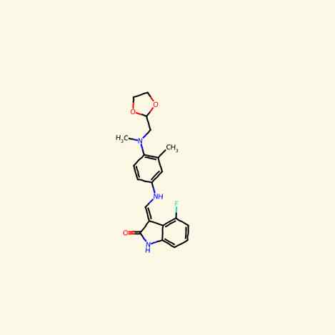 Cc1cc(N/C=C2/C(=O)Nc3cccc(F)c32)ccc1N(C)CC1OCCO1